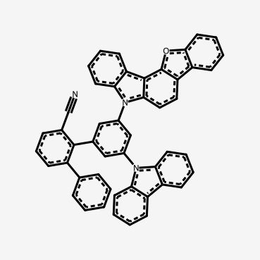 N#Cc1cccc(-c2ccccc2)c1-c1cc(-n2c3ccccc3c3ccccc32)cc(-n2c3ccccc3c3c4oc5ccccc5c4ccc32)c1